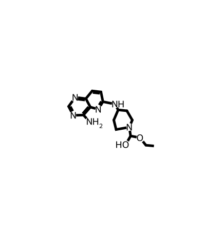 CCOC(O)N1CCC(Nc2ccc3ncnc(N)c3n2)CC1